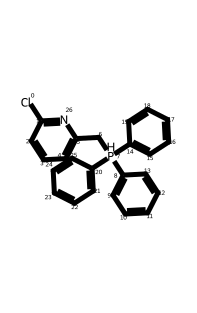 Clc1cccc(C[PH](c2ccccc2)(c2ccccc2)c2ccccc2)n1